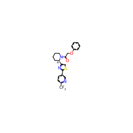 O=C(COc1ccccc1)N1CCCC[C@@H]1c1csc(-c2ccc(C(F)(F)F)nc2)n1